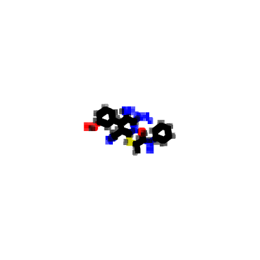 CC(Sc1nc(N)c(N)c(-c2cccc(O)c2)c1C#N)C(=O)Nc1ccccc1